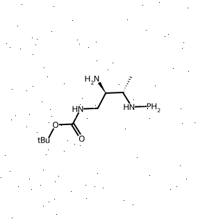 C[C@H](NP)[C@H](N)CNC(=O)OC(C)(C)C